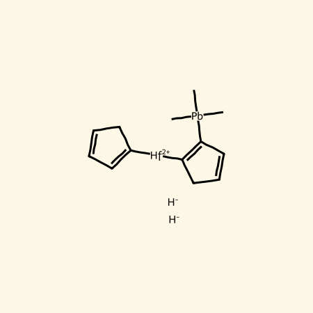 [CH3][Pb]([CH3])([CH3])[C]1=[C]([Hf+2][C]2=CC=CC2)CC=C1.[H-].[H-]